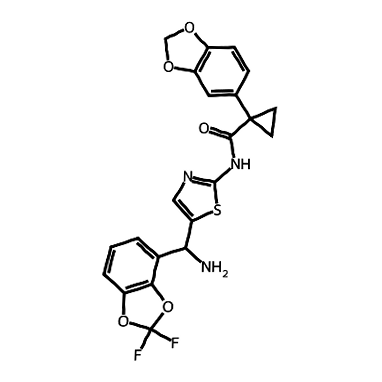 NC(c1cnc(NC(=O)C2(c3ccc4c(c3)OCO4)CC2)s1)c1cccc2c1OC(F)(F)O2